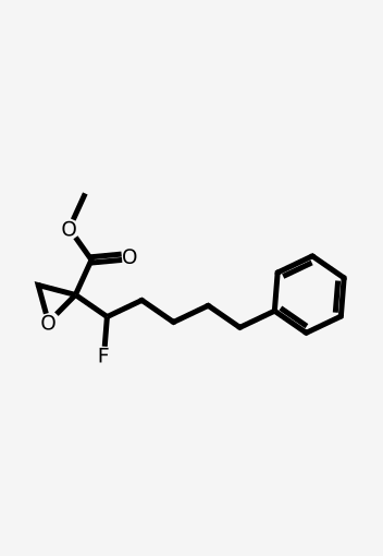 COC(=O)C1(C(F)CCCCc2ccccc2)CO1